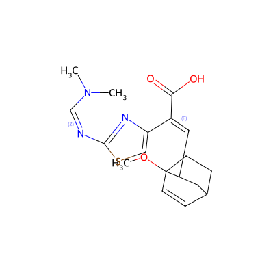 COC12C=CC(CC1)CC2/C=C(/C(=O)O)c1csc(/N=C\N(C)C)n1